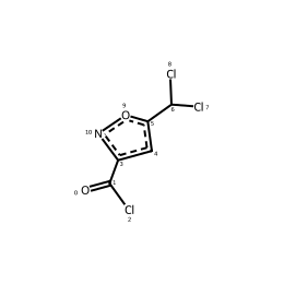 O=C(Cl)c1cc(C(Cl)Cl)on1